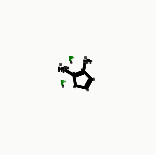 CCCC1=[C]([Hf+2])CC=C1.[F-].[F-]